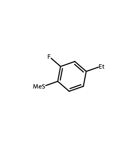 CCc1ccc(SC)c(F)c1